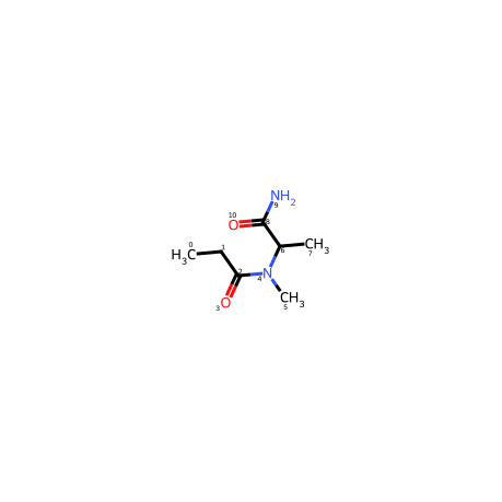 CCC(=O)N(C)C(C)C(N)=O